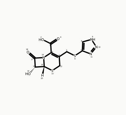 O=C(O)C1=C(CSc2c[nH]nn2)CS[C@@H]2[C@H](O)C(=O)N12